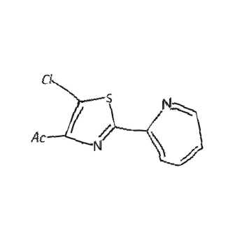 CC(=O)c1nc(-c2ccccn2)sc1Cl